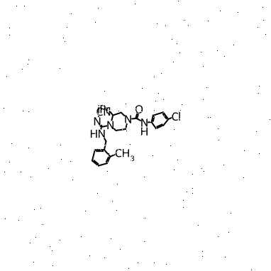 Cc1ccccc1CN/C(=N/C#N)N1CCN(C(=O)Nc2ccc(Cl)cc2)CC1C(C)C